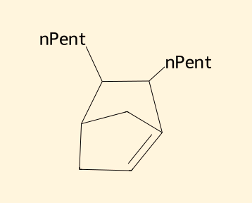 CCCCCC1C2=CCC(C2)C1CCCCC